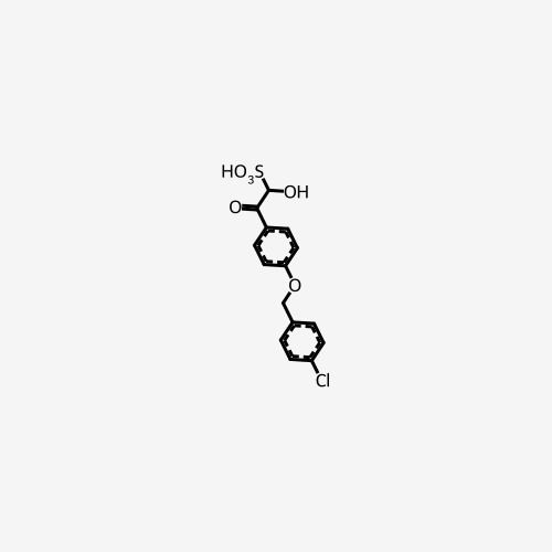 O=C(c1ccc(OCc2ccc(Cl)cc2)cc1)C(O)S(=O)(=O)O